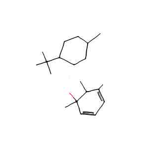 CC(=O)OC(C)(C)C1CCC(C)CC1.CC(=O)OC1C(C=O)=CC=CC1(C)O